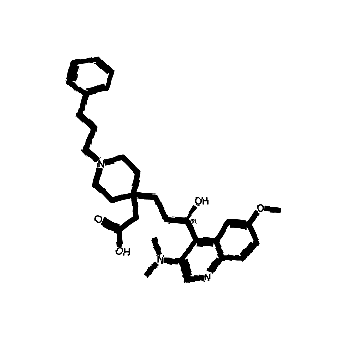 COc1ccc2ncc(N(C)C)c([C@H](O)CCC3(CC(=O)O)CCN(CCCc4ccccc4)CC3)c2c1